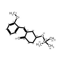 COc1ccccc1/C=C1/CC(O[Si](C)(C)C)CCC1=O